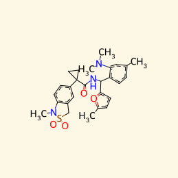 Cc1ccc(C(NC(=O)C2(c3ccc4c(c3)CS(=O)(=O)N4C)CC2)c2ccc(C)o2)c(N(C)C)c1